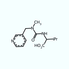 CC(C)C(NC(=O)N(C)Cc1cccnc1)C(=O)O